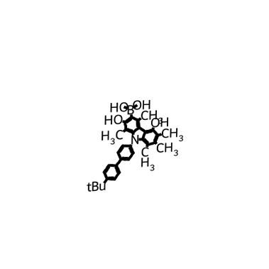 Cc1c(C)c(C)c2c(c1O)c1c(C)c(B(O)O)c(O)c(C)c1n2-c1ccc(-c2ccc(C(C)(C)C)cc2)cc1